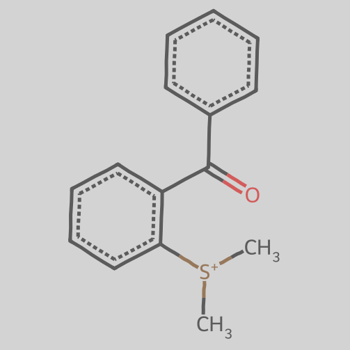 C[S+](C)c1ccccc1C(=O)c1ccccc1